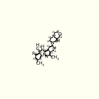 Cc1ccc([C@@H](C)Nc2nnc(C)c3cnc(N4CCN5CCOC[C@@H]5C4)cc23)c(F)c1